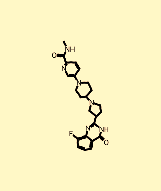 CNC(=O)c1ccc(N2CCC(N3CCC(c4nc5c(F)cccc5c(=O)[nH]4)C3)CC2)cn1